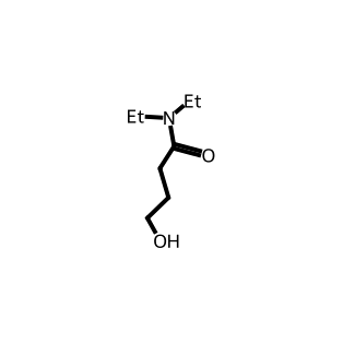 CCN(CC)C(=O)CCCO